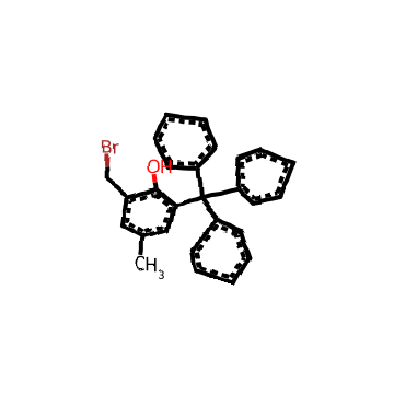 Cc1cc(CBr)c(O)c(C(c2ccccc2)(c2ccccc2)c2ccccc2)c1